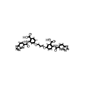 O=C(Nc1cc(OCCCOc2ccc(NC(=O)c3ccc4nnnn4n3)c(C(=O)O)c2)ccc1C(=O)O)c1ccc2nnnn2n1